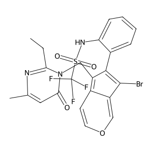 CCc1nc(C)cc(=O)n1Cc1c2ccocc-2c(Br)c1-c1ccccc1NS(=O)(=O)C(F)(F)F